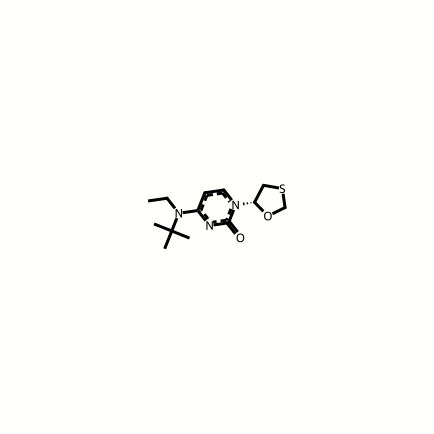 CCN(c1ccn([C@@H]2CSCO2)c(=O)n1)C(C)(C)C